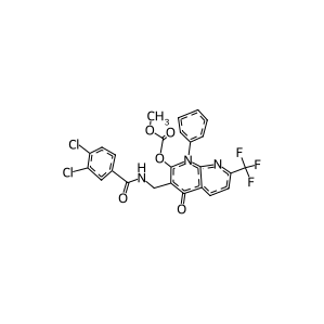 COC(=O)Oc1c(CNC(=O)c2ccc(Cl)c(Cl)c2)c(=O)c2ccc(C(F)(F)F)nc2n1-c1ccccc1